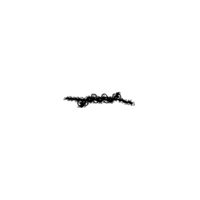 C=CC(=O)OC(CCCCCCCCCC)c1ccc(OC(=O)C2CCC(OC(=O)c3ccc(C(CCCCCCCCCC)OC(=O)C=C)cc3)CC2)cc1